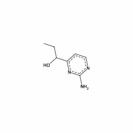 CCC(O)c1ccnc(N)n1